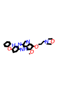 COc1cc2c(Nc3ccc(Oc4ccccc4)cc3)c(N)cnc2cc1OCCCN1CCOCC1